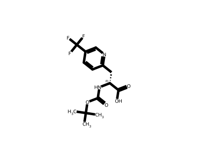 CC(C)(C)OC(=O)N[C@H](Cc1ccc(C(F)(F)F)cn1)C(=O)O